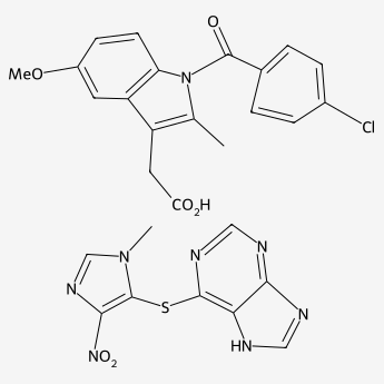 COc1ccc2c(c1)c(CC(=O)O)c(C)n2C(=O)c1ccc(Cl)cc1.Cn1cnc([N+](=O)[O-])c1Sc1ncnc2nc[nH]c12